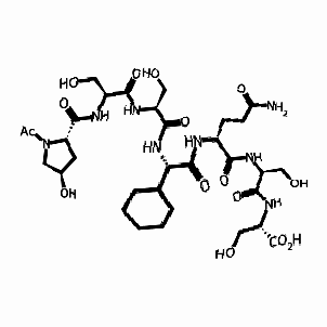 CC(=O)N1C[C@H](O)C[C@H]1C(=O)N[C@@H](CO)C(=O)N[C@@H](CO)C(=O)N[C@H](C(=O)N[C@@H](CCC(N)=O)C(=O)N[C@@H](CO)C(=O)N[C@@H](CO)C(=O)O)C1CCCCC1